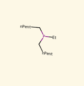 CCCCCCP(CC)CCCCCC